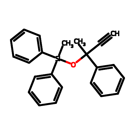 C#CC(C)(O[Si](C)(c1ccccc1)c1ccccc1)c1ccccc1